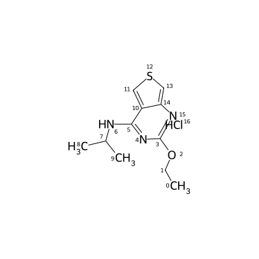 CCOc1nc(NC(C)C)c2cscc2n1.Cl